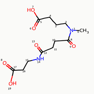 CN(CCCC(=O)O)C(=O)CCC(=O)NCCC(=O)O